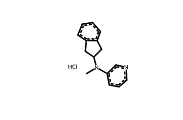 CN(c1cccnc1)C1Cc2ccccc2C1.Cl